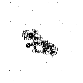 CCC1O[C@H](O[C@@H]2C(OCc3ccccc3)[C@H](OCCCC(=O)OC)OC(CO[C@H]3OC(CO[C@H]4OC(CC)[C@@H](C)[C@H](C)C4O[C@H]4OC(COP(=O)=O)[C@@H](O)[C@H](O)C4O)[C@@H](O)[C@H](O)C3O)[C@H]2C)C(O[C@H]2OC(COP(=O)=O)[C@@H](O)[C@H](O)C2O)[C@@H](C)[C@@H]1C